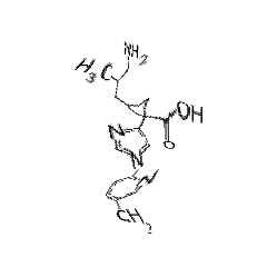 Cc1ccc(-n2cnc(C3(C(=O)O)CC3CC(C)CN)c2)nc1